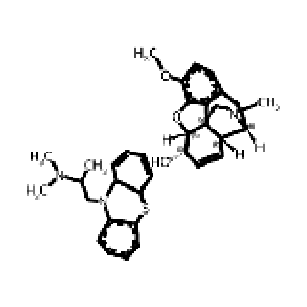 CC(CN1c2ccccc2SC2C=CC=CC21)N(C)C.COc1ccc2c3c1O[C@H]1[C@@H](O)C=C[C@H]4[C@@H](C2)N(C)CC[C@@]341